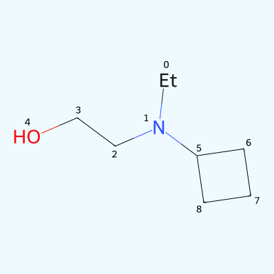 CCN(CCO)C1CCC1